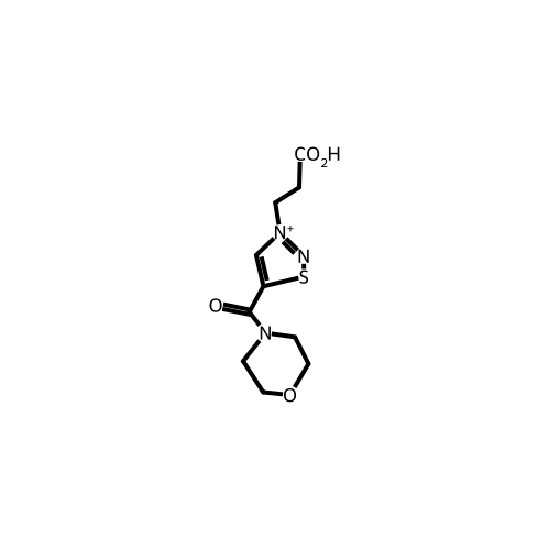 O=C(O)CC[n+]1cc(C(=O)N2CCOCC2)sn1